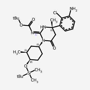 C[C@H]1C[C@@H](N2C(=O)C[C@@](C)(c3cccc(N)c3Cl)N/C2=N\C(=O)OC(C)(C)C)CC[C@H]1O[Si](C)(C)C(C)(C)C